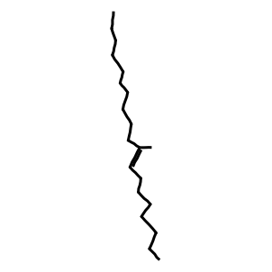 CCCCCCC/C=C(\C)CCCCCCCCCC